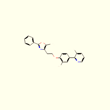 CCOC(=O)c1cccnc1-c1ccc(OCCc2nc(-c3ccccc3)oc2C)c(C#N)c1